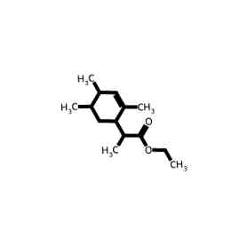 CCOC(=O)C(C)C1CC(C)C(C)C=C1C